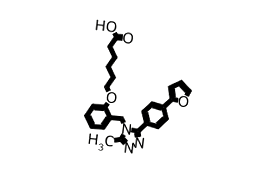 Cc1nnc(-c2ccc(-c3ccco3)cc2)n1Cc1ccccc1OCCCCCC(=O)O